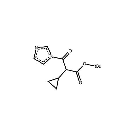 CC(C)(C)OC(=O)C(C(=O)n1ccnc1)C1CC1